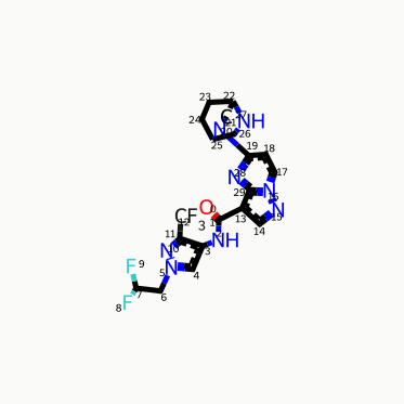 O=C(Nc1cn(CC(F)F)nc1C(F)(F)F)c1cnn2ccc(N3CC4CCC3CN4)nc12